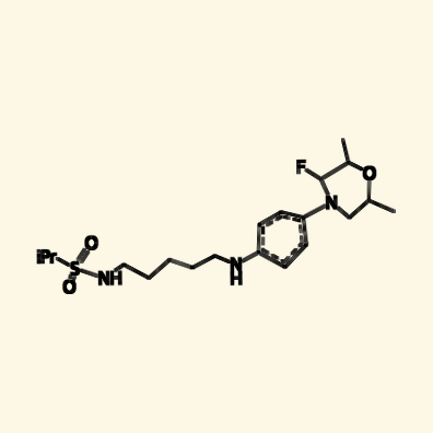 CC1CN(c2ccc(NCCCCCNS(=O)(=O)C(C)C)cc2)C(F)C(C)O1